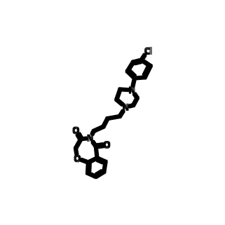 O=C1COc2ccccc2C(=O)N1CCCCN1CCN(c2ccc(Cl)cc2)CC1